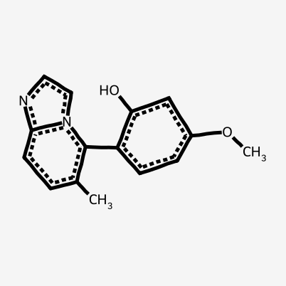 COc1ccc(-c2c(C)ccc3nccn23)c(O)c1